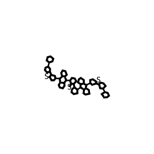 c1ccc(-c2ccc3sc4ccc(-c5c6ccccc6c(-c6cccc7c6sc6cccc(-c8c9ccccc9c(-c9ccc%10sc%11ccc(-c%12ccccc%12)cc%11c%10c9)c9ccccc89)c67)c6ccccc56)cc4c3c2)cc1